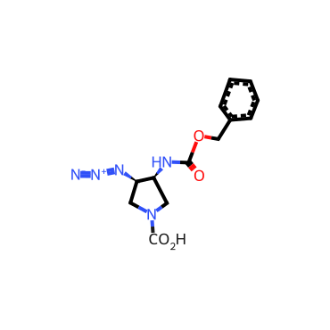 [N-]=[N+]=N[C@@H]1CN(C(=O)O)C[C@@H]1NC(=O)OCc1ccccc1